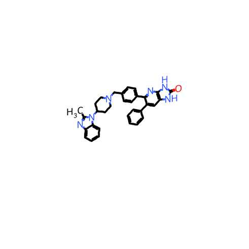 Cc1nc2ccccc2n1C1CCN(Cc2ccc(-c3nc4[nH]c(=O)[nH]c4cc3-c3ccccc3)cc2)CC1